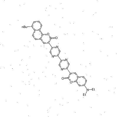 CCCCc1cccc2c1ccc1cc(-c3cnc(-c4cnc(-c5cc6ccc(N(CC)CC)cc6oc5=O)cn4)cn3)c(=O)oc12